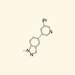 CC(C)c1cncc(-c2ccc3c(cnn3C)c2)c1